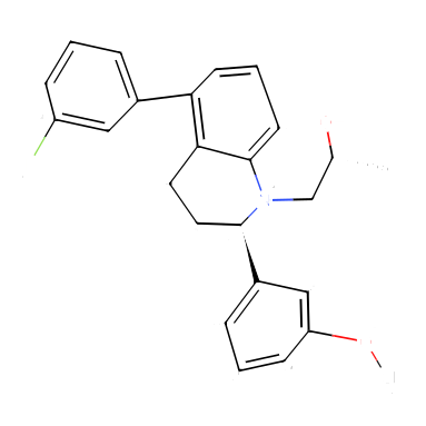 C[C@@H](O)CN1c2cccc(-c3cccc(F)c3)c2CC[C@@H]1c1cccc(OC(F)(F)F)c1